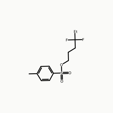 CCC(F)(F)CCCOS(=O)(=O)c1ccc(C)cc1